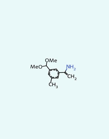 C=C(N)c1cc(C)cc(C(OC)OC)c1